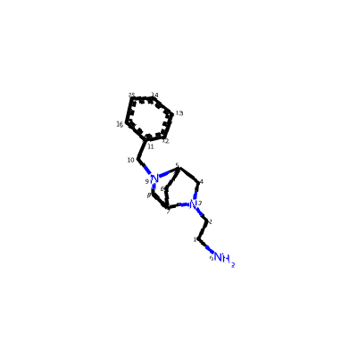 NCCN1CC2CC1CN2Cc1ccccc1